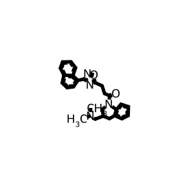 CN(C)CC1Cc2ccccc2N(C(=O)CCc2nc(-c3cccc4ccccc34)no2)C1